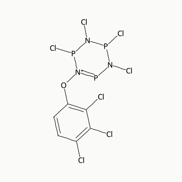 Clc1ccc(O[n+]2pn(Cl)p(Cl)n(Cl)p2Cl)c(Cl)c1Cl